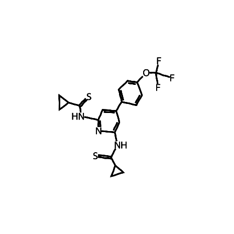 FC(F)(F)Oc1ccc(-c2cc(NC(=S)C3CC3)nc(NC(=S)C3CC3)c2)cc1